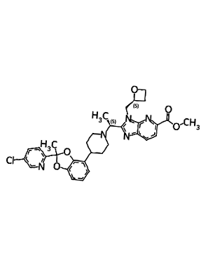 COC(=O)c1ccc2nc([C@H](C)N3CCC(c4cccc5c4OC(C)(c4ccc(Cl)cn4)O5)CC3)n(C[C@@H]3CCO3)c2n1